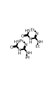 CC(C)/N=C(\NC(=O)S)NC(C)C.CC/N=C(/NCC)NC(=O)S